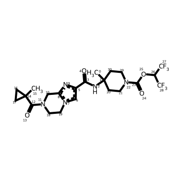 CC1(NC(=O)c2cn3c(n2)CN(C(=O)C2(C)CC2)CC3)CCN(C(=O)OC(C(F)(F)F)C(F)(F)F)CC1